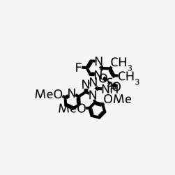 COc1cccc(-c2nnc(NS(=O)(=O)C(C)=C(C)c3ncc(F)cn3)n2-c2c(OC)cccc2OC)n1